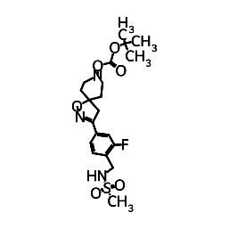 CC(C)(C)OC(=O)ON1CCC2(CC1)CC(c1ccc(CNS(C)(=O)=O)c(F)c1)=NO2